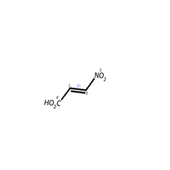 O=C(O)/C=C/[N+](=O)[O-]